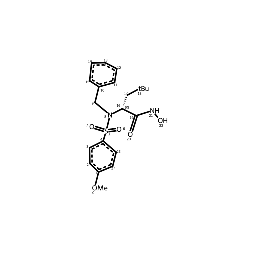 COc1ccc(S(=O)(=O)N(Cc2ccccc2)[C@H](CC(C)(C)C)C(=O)NO)cc1